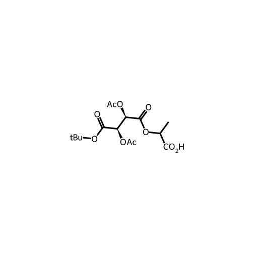 CC(=O)O[C@@H](C(=O)OC(C)C(=O)O)[C@@H](OC(C)=O)C(=O)OC(C)(C)C